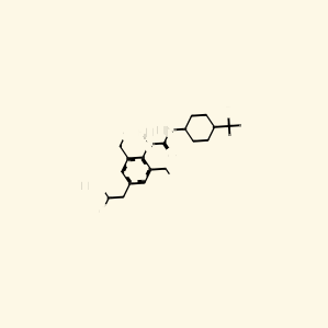 CCc1cc(CC(C)C)cc(CC)c1N(S)C(=O)NC1CCC(C(F)(F)F)CC1